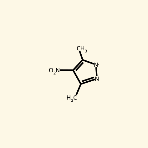 CC1=N[N]C(C)=C1[N+](=O)[O-]